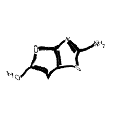 Nc1nc2oc(O)cc2s1